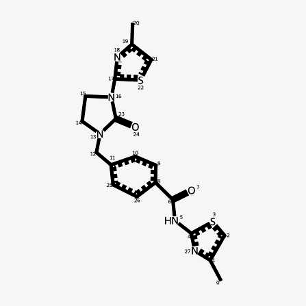 Cc1csc(NC(=O)c2ccc(CN3CCN(c4nc(C)cs4)C3=O)cc2)n1